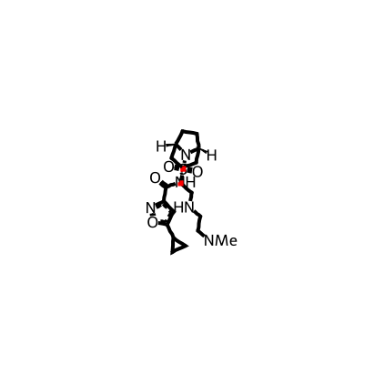 CNCCNCCS(=O)(=O)N1[C@@H]2CC[C@H]1C[C@@H](NC(=O)c1cc(C3CC3)on1)C2